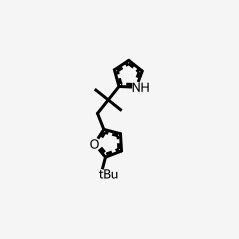 CC(C)(C)c1ccc(CC(C)(C)c2ccc[nH]2)o1